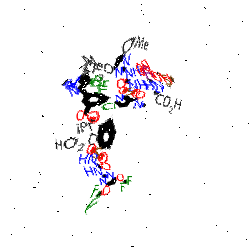 CC(C)OC(=O)c1cc(-c2nn(C)c(C(F)(F)F)c2Br)c(F)cc1Cl.COc1cc(OC)nc(NC(=O)NS(=O)(=O)c2ncccc2C(=O)N(C)C)n1.C[S+](C)C.O=C(Nc1nc(OC(F)F)cc(OC(F)F)n1)NS(=O)(=O)c1ccccc1C(=O)O.O=C(O)CNCP(=O)([O-])O